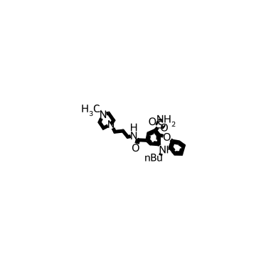 CCCCNc1cc(C(=O)NCCCN2CCN(C)CC2)cc(S(N)(=O)=O)c1Oc1ccccc1